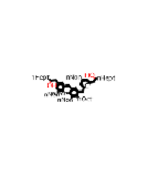 CCCCCCCCCc1cc(Cc2[c]c(Cc3cc(CCCCCCCCC)cc(CC(O)CCCCCCC)c3)c(CCCCCCCC)c(CCCCCCCCC)c2CCCCCCCC)cc(CC(O)CCCCCCC)c1